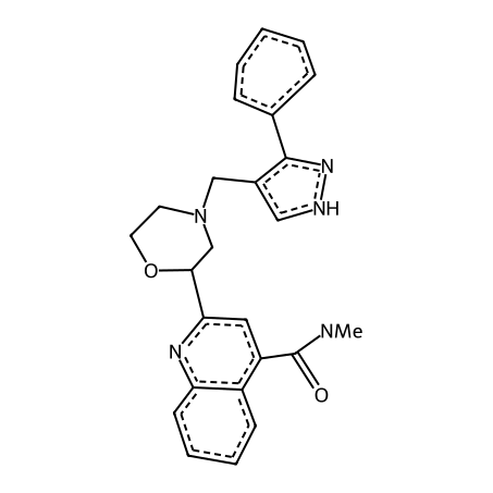 CNC(=O)c1cc(C2CN(Cc3c[nH]nc3-c3ccccc3)CCO2)nc2ccccc12